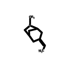 C/C=C1\CC2CC(C1)N(C)C2